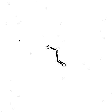 O=[C]S[S]